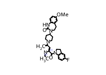 C=C(/C=C(\N=C/C)C(=O)N1CCc2cc(F)ccc21)N1CCC(N2CCc3cc(OC)ccc3NC2=O)CC1